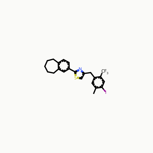 Cc1cc(Cc2csc(-c3ccc4c(c3)CCCCC4)n2)c(C(F)(F)F)cc1I